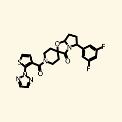 O=C(c1ccsc1-n1nccn1)N1CCC2(CC1)OC1CCC(c3cc(F)cc(F)c3)N1C2=O